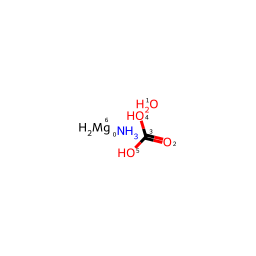 N.O.O=C(O)O.[MgH2]